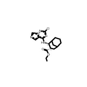 CCOC(=O)[C@H]1CC2CCCC(C2)[C@@H]1Nc1nc(Cl)nn2cncc12